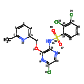 Cc1cccc(COc2nc(Cl)cnc2NS(=O)(=O)c2cccc(Cl)c2Cl)n1